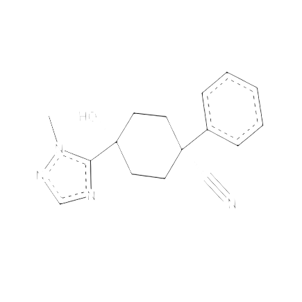 Cn1ncnc1[C@]1(O)CC[C@](C#N)(c2ccccc2)CC1